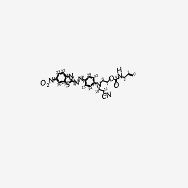 C=CCNC(=O)OCCN(CCC#N)c1ccc(/N=N/c2nc3ccc([N+](=O)[O-])cc3s2)cc1